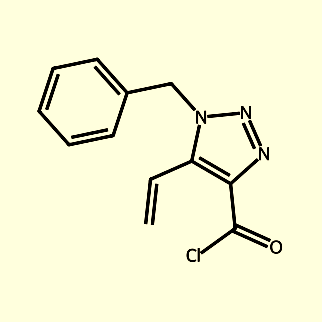 C=Cc1c(C(=O)Cl)nnn1Cc1ccccc1